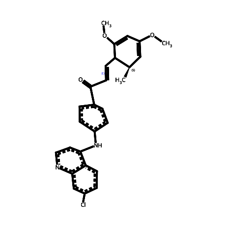 COC1=C[C@@H](C)C(/C=C/C(=O)c2ccc(Nc3ccnc4cc(Cl)ccc34)cc2)C(OC)=C1